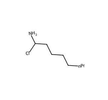 CCCCCCCC(N)Cl